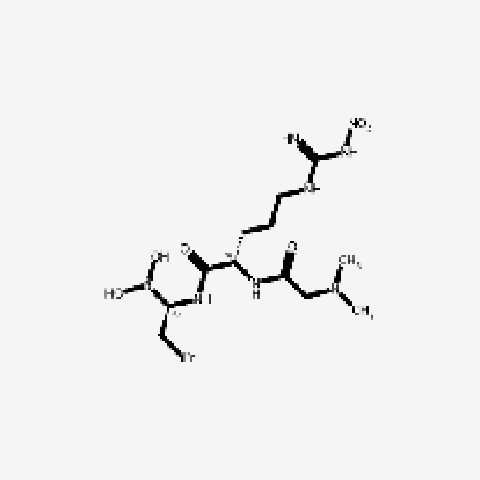 CC(C)C[C@H](NC(=O)[C@H](CCCNC(=N)N[N+](=O)[O-])NC(=O)CN(C)C)B(O)O